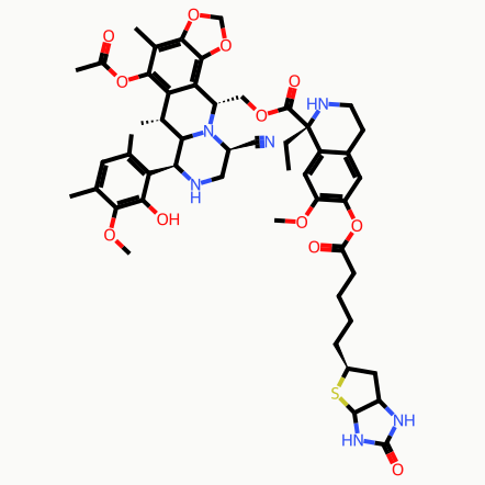 CC[C@@]1(C(=O)OC[C@H]2c3c4c(c(C)c(OC(C)=O)c3[C@@H](C)C3[C@H](c5c(C)cc(C)c(OC)c5O)NC[C@H](C#N)N32)OCO4)NCCc2cc(OC(=O)CCCC[C@H]3CC4NC(=O)NC4S3)c(OC)cc21